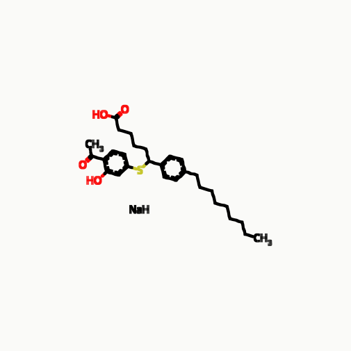 CCCCCCCCCc1ccc(C(CCCCC(=O)O)Sc2ccc(C(C)=O)c(O)c2)cc1.[NaH]